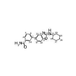 NC(=O)c1cccc(-c2ccc3oc(NC4CCCCC4)nc3c2)c1